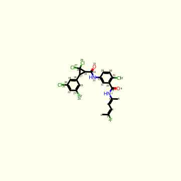 C/C(F)=C\C=C(/C)NC(=O)c1cc(NC(=O)C2C(c3cc(Cl)cc(Br)c3)C2(Cl)Cl)ccc1Cl